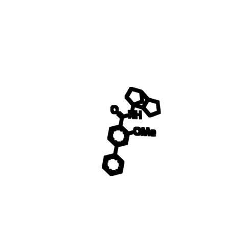 COc1cc(-c2ccccc2)ccc1C(=O)NC12CCC(C1)C1CCCC12